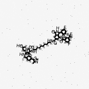 Cc1ncsc1-c1ccc([C@H](C)NC(=O)[C@@H]2C[C@@H](O)CN2C(=O)[C@@H](NC(=O)CCCCCCCCCNC(=O)c2cc(NC(=O)c3cc(F)cc(C(F)(F)F)c3)c3c(c2)C(=O)NC3c2cc(F)ccc2Cl)C(C)(C)C)cc1